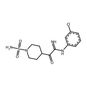 N=C(Nc1cccc(Cl)c1)C(=O)C1CCN(S(N)(=O)=O)CC1